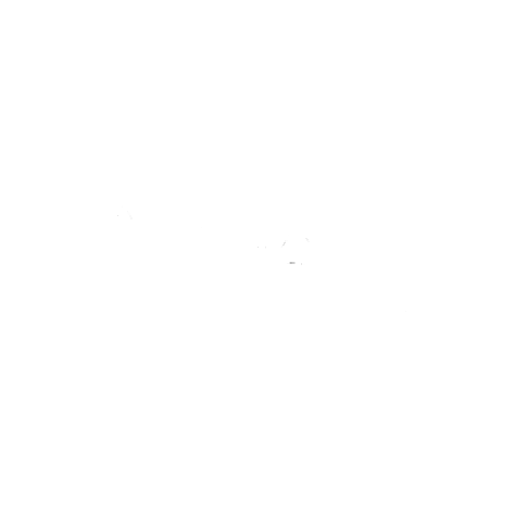 C=CCCCOc1ccc(OCC2CCC(C3CCC(C=C)CC3)CC2)c(F)c1F